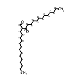 CCCCCCCCCCCCCCC([C]=O)C(=O)CCCCCCCCCCCC